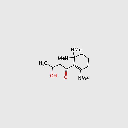 CNC1=C(C(=O)CC(C)O)C(NC)(NC)CCC1